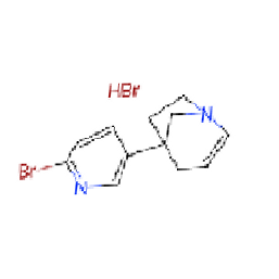 Br.Brc1ccc(C23CC=CN(CC2)C3)cn1